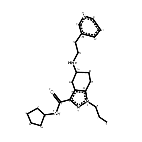 CCCn1nc(C(=O)NC2CCCC2)c2c1CCC(NCCc1cccnc1)C2